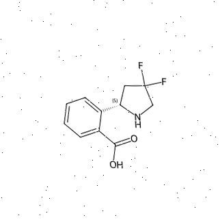 O=C(O)c1ccccc1[C@@H]1CC(F)(F)CN1